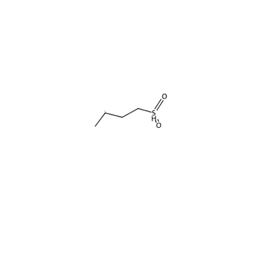 C[CH]CC[SH](=O)=O